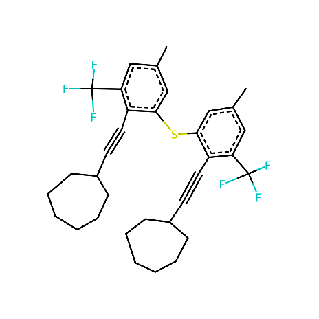 Cc1cc(Sc2cc(C)cc(C(F)(F)F)c2C#CC2CCCCCC2)c(C#CC2CCCCCC2)c(C(F)(F)F)c1